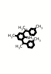 Cc1cccc([C@@H](C)c2cc(C)cc([C@H](C)c3cccc(C)c3)c2N)c1